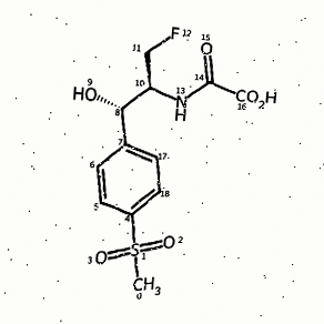 CS(=O)(=O)c1ccc([C@H](O)[C@@H](CF)NC(=O)C(=O)O)cc1